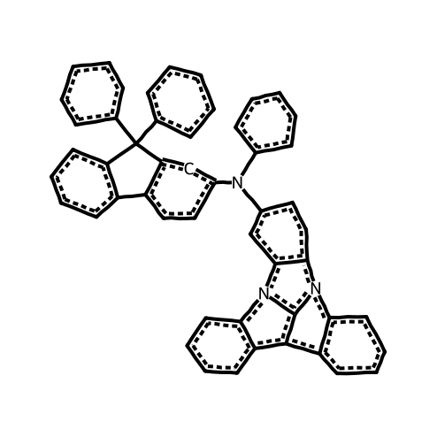 c1ccc(N(c2ccc3c(c2)C(c2ccccc2)(c2ccccc2)c2ccccc2-3)c2ccc3c(c2)n2c4ccccc4c4c5ccccc5n3c42)cc1